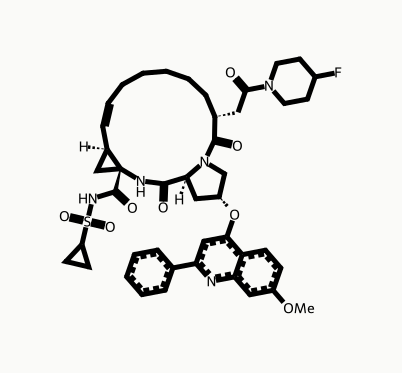 COc1ccc2c(O[C@@H]3C[C@H]4C(=O)N[C@]5(C(=O)NS(=O)(=O)C6CC6)C[C@H]5/C=C\CCCCC[C@H](CC(=O)N5CCC(F)CC5)C(=O)N4C3)cc(-c3ccccc3)nc2c1